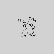 CC1(C)O[C@@H]2CNC[C@@]2(CO)O1